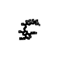 CNC(=O)C1CC(Cl)C(CCC(Cl)C(C)CCCC(C)(C)Cl)CC1C(=O)NC